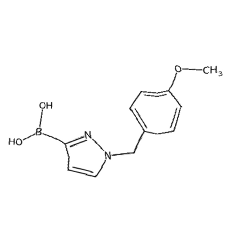 COc1ccc(Cn2ccc(B(O)O)n2)cc1